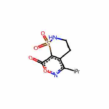 CC(C)c1noc(=O)c2c1CCNS2(=O)=O